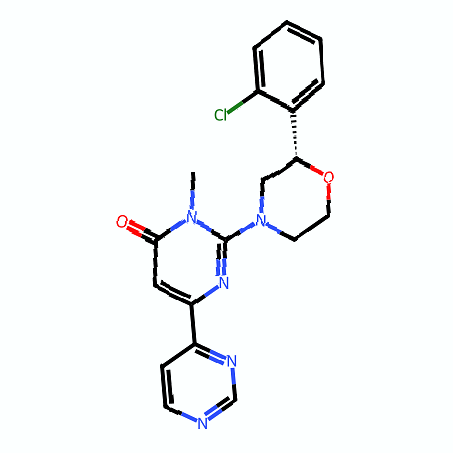 Cn1c(N2CCO[C@@H](c3ccccc3Cl)C2)nc(-c2ccncn2)cc1=O